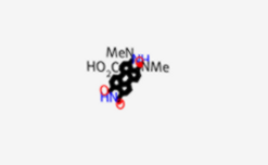 CNC(=N)c1cc(C(=O)O)c2c3ccc4c5c(ccc(c6ccc(C(=O)NC)c1c62)c53)C(=O)NC4=O